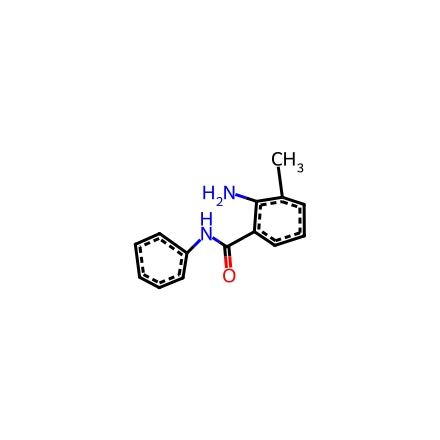 Cc1cccc(C(=O)Nc2ccccc2)c1N